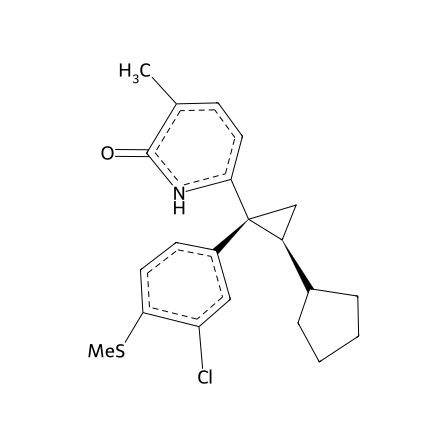 CSc1ccc([C@@]2(c3ccc(C)c(=O)[nH]3)C[C@H]2C2CCCC2)cc1Cl